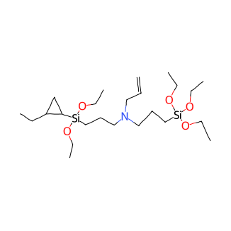 C=CCN(CCC[Si](OCC)(OCC)OCC)CCC[Si](OCC)(OCC)C1CC1CC